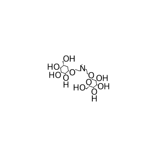 CN(CCO[C@H]1O[C@H](CO)[C@@H](O)[C@H](O)[C@@H]1O)CCO[C@H]1C[C@H](CO)[C@@H](O)[C@H](O)[C@@H]1O